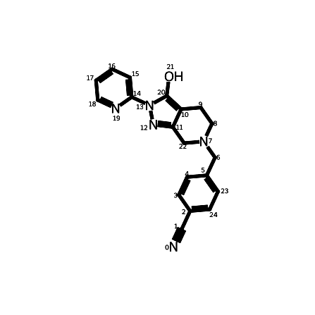 N#Cc1ccc(CN2CCc3c(nn(-c4ccccn4)c3O)C2)cc1